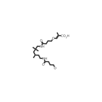 CC(=COCCCC(=O)NCC(C)(C)CC(C)CCNC(=O)CCC[O])C(=O)O